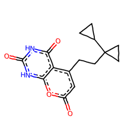 O=c1[nH]c(=O)c2c(CCC3(C4CC4)CC3)cc(=O)oc2[nH]1